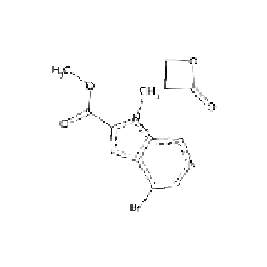 COC(=O)c1cc2c(Br)cncc2n1C.O=C1CCO1